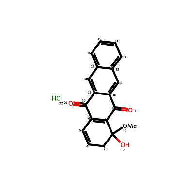 COC1(O)CC=CC2=C1C(=O)c1cc3ccccc3cc1C2=O.Cl